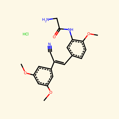 COc1cc(OC)cc(C(C#N)=Cc2ccc(OC)c(NC(=O)CN)c2)c1.Cl